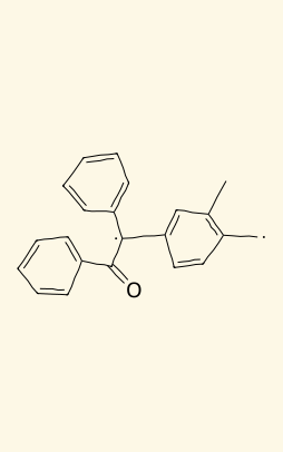 [CH2]c1ccc([C](C(=O)c2ccccc2)c2ccccc2)cc1C